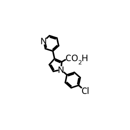 O=C(O)c1c(-c2cccnc2)ccn1-c1ccc(Cl)cc1